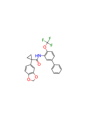 O=C(Nc1cc(-c2ccccc2)ccc1OC(F)(F)F)C1(c2ccc3c(c2)OCO3)CC1